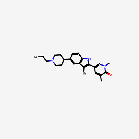 Cc1cc(-c2[nH]c3ccc(C4CCN(CCC#N)CC4)cc3c2C(C)C)cn(C)c1=O